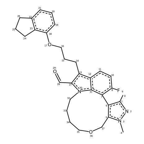 Cc1nn(C)c2c1-c1c(F)ccc3c(CCCOc4cccc5c4CCC5)c(C=O)n(c13)CCCCOC2